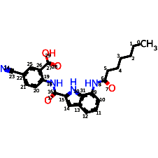 CCCCCCC(=O)Nc1cccc2cc(C(=O)Nc3ccc(C#N)cc3C(=O)O)[nH]c12